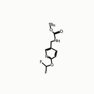 CC(C)(C)OC(=O)NCc1ccc(OC(F)F)nc1